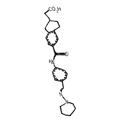 O=C(O)CC1CCc2cc(C(=O)Nc3ccc(C=NN4CCCCC4)cc3)ccc2C1